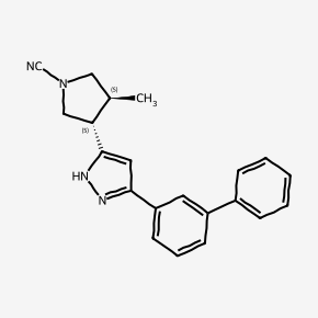 C[C@@H]1CN(C#N)C[C@H]1c1cc(-c2cccc(-c3ccccc3)c2)n[nH]1